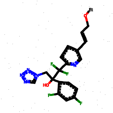 CCOC/C=C/c1ccc(C(F)(F)C(O)(Cn2cnnn2)c2ccc(F)cc2F)nc1